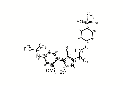 CCn1nc(C(=O)NC[C@H]2CC[C@@H](S(C)(=O)=O)CC2)c(Cl)c1-c1ccc(N[C@H](C)C(F)(F)F)cc1OC